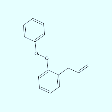 C=CCc1ccccc1OOc1ccccc1